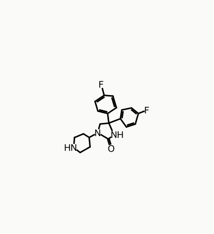 O=C1NC(c2ccc(F)cc2)(c2ccc(F)cc2)CN1C1CCNCC1